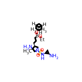 CCOB(CCC[C@H]1CN(S(=O)(=O)N[C@@H]2C[C@H]2N)C[C@]1(C)N)O[C@@H]1C[C@@H]2C[C@H](C1)C2(C)C